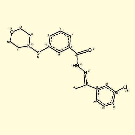 C/C(=N\NC(=O)c1cccc(SN2CCOCC2)c1)c1ccnc(Cl)c1